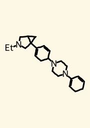 CCN1CC2CC2(C2=CCC(N3CCN(C4=CCCC=C4)CC3)C=C2)C1